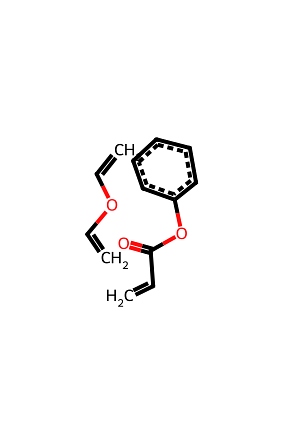 C=CC(=O)Oc1ccccc1.C=COC=C